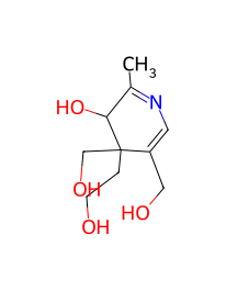 CC1=NC=C(CO)C(CO)(CCO)C1O